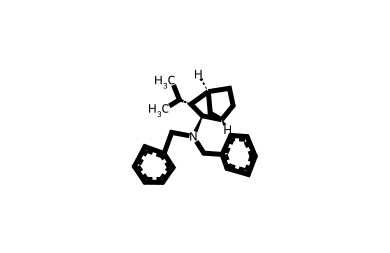 CC(C)[C@@H]1[C@H]2CC[C@H](C2)[C@H]1N(Cc1ccccc1)Cc1ccccc1